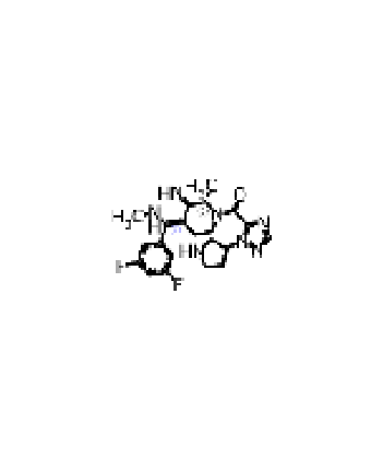 CN/C(=C1/CCN(C(=O)c2ncnn2C2CCNC2)[C@@H](C)C1=N)c1cc(F)cc(F)c1